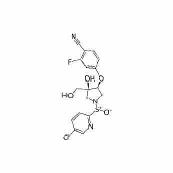 N#Cc1ccc(O[C@H]2CN([S+]([O-])c3ccc(Cl)cn3)C[C@]2(O)CO)cc1F